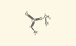 CC(=O)C=S(=O)=O.CCC